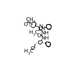 COCC[C@@H]1C[C@@H](NC(=O)Nc2c(C)c(C3=CCN(C(C)=O)CC3)nn2-c2ccccc2)[C@H](c2ccccc2)C1